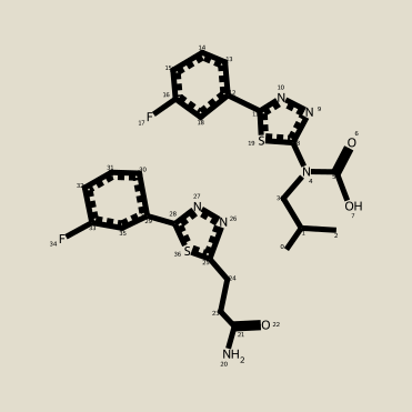 CC(C)CN(C(=O)O)c1nnc(-c2cccc(F)c2)s1.NC(=O)CCc1nnc(-c2cccc(F)c2)s1